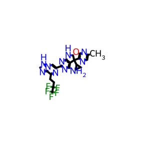 Cc1cnc(C2(C3CC3)C(=O)Nc3nc(C4=CN5NCN=C5C(CCC(F)(F)C(F)(F)F)=N4)nc(N)c32)cn1